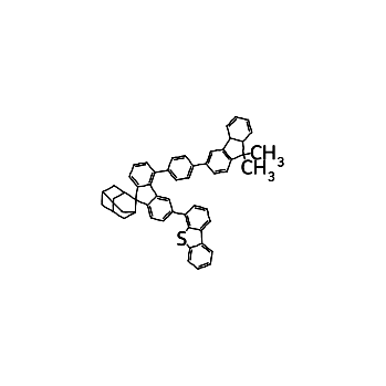 CC1(C)c2ccc(-c3ccc(-c4cccc5c4-c4cc(-c6cccc7c6sc6ccccc67)ccc4C54C5CC6CC(C5)CC4C6)cc3)cc2C2C=CC=CC21